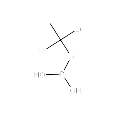 CCC(C)(CC)OP(O)O